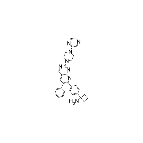 NC1(c2ccc(-c3nc4nc(N5CCN(c6cnccn6)CC5)ncc4cc3-c3ccccc3)cc2)CCC1